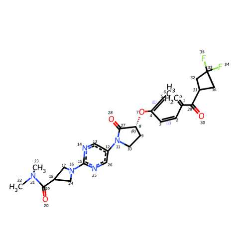 C=C(/C=C\C(=C/C)O[C@@H]1CCN(c2cnc(N3CC(C(=O)N(C)C)C3)nc2)C1=O)C(=O)C1CC(F)(F)C1